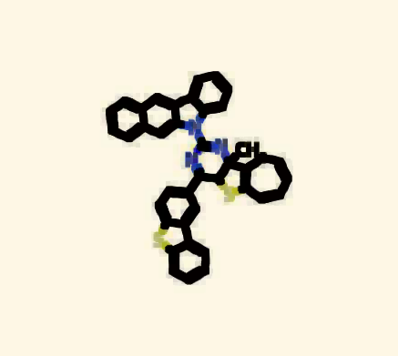 CC12N=C(n3c4ccccc4c4cc5ccccc5cc43)N=C(c3ccc4sc5ccccc5c4c3)C1SC1=C2CC=CC=C1